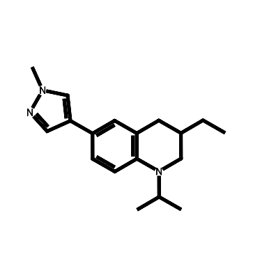 CCC1Cc2cc(-c3cnn(C)c3)ccc2N(C(C)C)C1